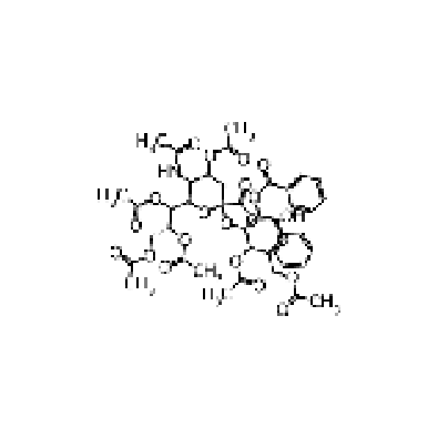 CC(=O)NC1C(OC(C)=O)CC(OC2C(OC(=O)c3ccccc3)C(O)OC(COC(C)=O)C2OC(C)=O)(C(=O)OCc2ccccc2)OC1[C@H](OC(C)=O)[C@@H](COC(C)=O)OC(C)=O